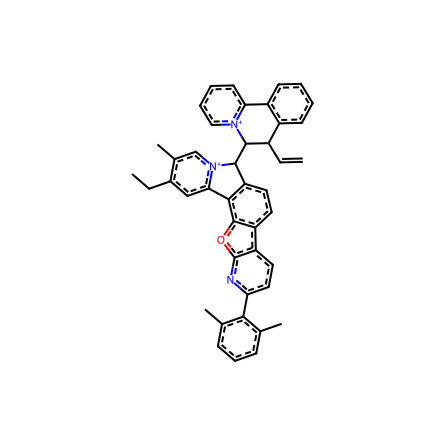 C=CC1c2ccccc2-c2cccc[n+]2C1C1c2ccc3c(oc4nc(-c5c(C)cccc5C)ccc43)c2-c2cc(CC)c(C)c[n+]21